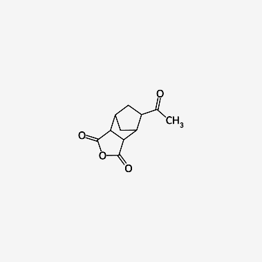 CC(=O)C1CC2CC1C1C(=O)OC(=O)C21